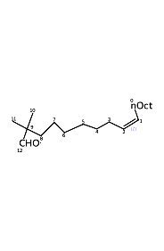 CCCCCCCC/C=C\CCCCCCC(C)(C)[C]=O